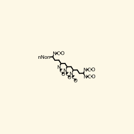 CCCCCCCCCC(CCC(CC(CC(CCC(N=C=O)N=C=O)N=C=O)N=C=O)N=C=O)N=C=O